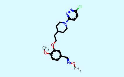 CON=Cc1ccc(OC)c(OCCC2CCN(c3ccc(Cl)nn3)CC2)c1